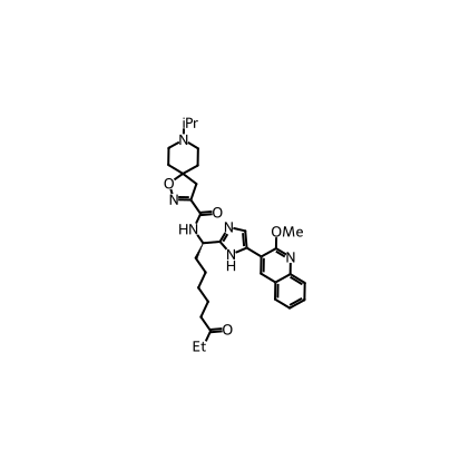 CCC(=O)CCCCC[C@@H](NC(=O)C1=NOC2(CCN(C(C)C)CC2)C1)c1ncc(-c2cc3ccccc3nc2OC)[nH]1